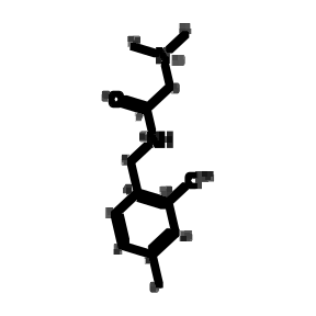 Cc1ccc(CNC(=O)CN(C)C)c(Cl)c1